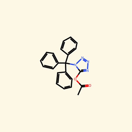 CC(=O)Oc1nnnn1C(c1ccccc1)(c1ccccc1)c1ccccc1